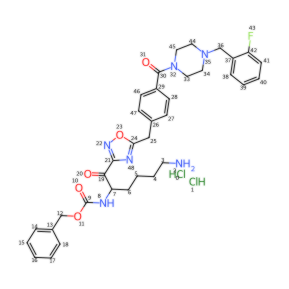 Cl.Cl.NCCCCC(NC(=O)OCc1ccccc1)C(=O)c1noc(Cc2ccc(C(=O)N3CCN(Cc4ccccc4F)CC3)cc2)n1